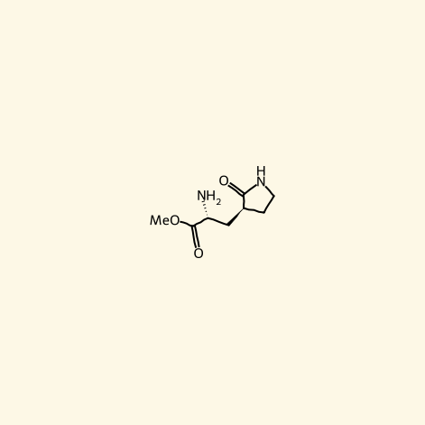 COC(=O)[C@H](N)C[C@@H]1CCNC1=O